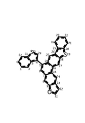 c1ccc2c(-c3cc4cc5occc5cc4c4cc5sc6ccccc6c5cc34)csc2c1